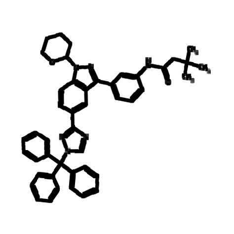 CC(C)(C)CC(=O)Nc1cccc(-c2nn(C3CCCCO3)c3ccc(-c4ncn(C(c5ccccc5)(c5ccccc5)c5ccccc5)n4)cc23)c1